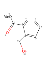 COC(=O)c1ccccc1CO